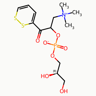 C[N+](C)(C)CC(OP(=O)([O-])OC[C@H](O)CO)C(=O)C1=CC=CSS1